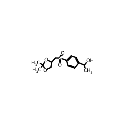 CC(O)c1ccc(S(=O)(=O)CC2COC(C)(C)O2)cc1